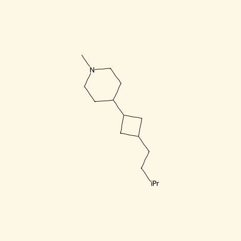 CC(C)CCC1CC(C2CCN(C)CC2)C1